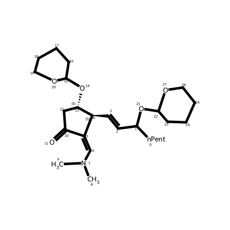 CCCCCC(C=C[C@H]1C(=CN(C)C)C(=O)C[C@@H]1OC1CCCCO1)OC1CCCCO1